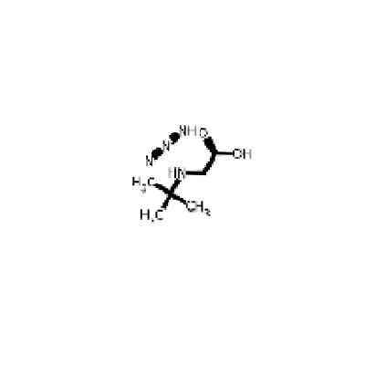 CC(C)(C)NCC(=O)O.[N-]=[N+]=N